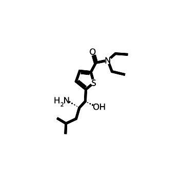 CCN(CC)C(=O)c1ccc([C@H](O)[C@@H](N)CC(C)C)s1